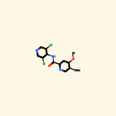 COc1cnc(C(=O)Nc2c(Cl)cncc2Cl)cc1OC(C)C